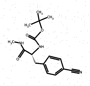 CNC(=O)[C@@H](Cc1ccc(C#N)cc1)NC(=O)OC(C)(C)C